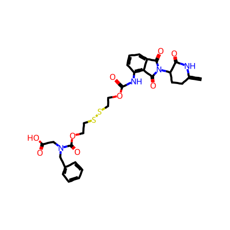 C=C1CCC(N2C(=O)c3cccc(NC(=O)OCCSSCCOC(=O)N(CC(=O)O)Cc4ccccc4)c3C2=O)C(=O)N1